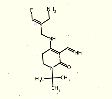 CC(C)(C)N1CCC(NC/C(=C/F)CN)=C(C=N)C1=O